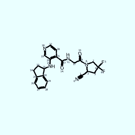 N#CC1CC(F)(F)CN1C(=O)CNC(=O)c1ccncc1NC1CCc2ccccc21